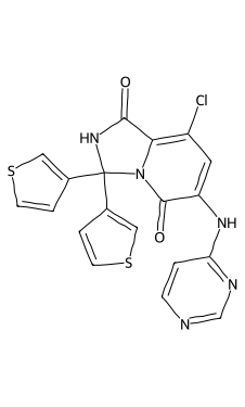 O=C1NC(c2ccsc2)(c2ccsc2)n2c1c(Cl)cc(Nc1ccncn1)c2=O